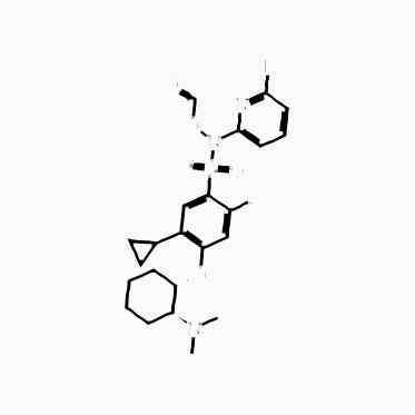 CN(C)[C@H]1CCCC[C@@H]1Oc1cc(F)c(S(=O)(=O)N(OC=O)c2cccc(F)n2)cc1C1CC1